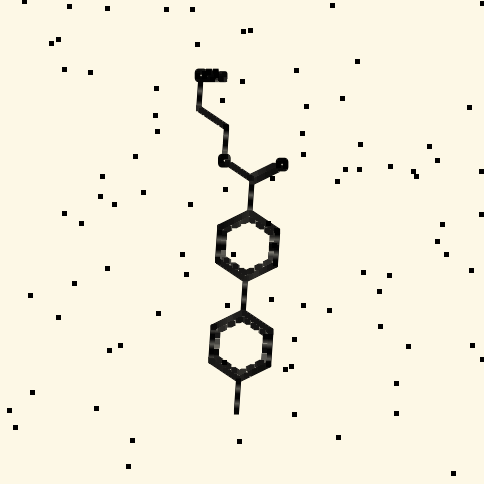 COCCOC(=O)c1ccc(-c2ccc(C)cc2)cc1